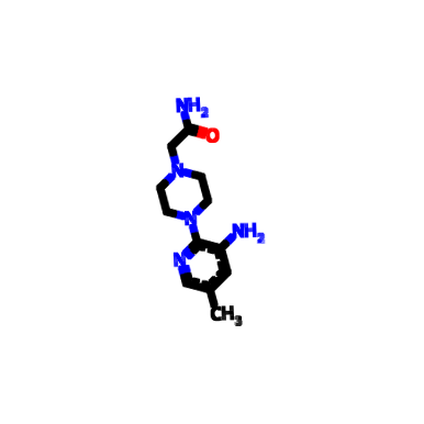 Cc1cnc(N2CCN(CC(N)=O)CC2)c(N)c1